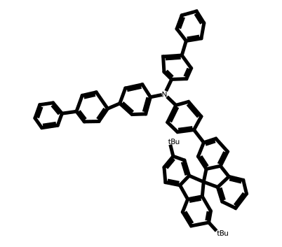 CC(C)(C)c1ccc2c(c1)C1(c3ccccc3-c3ccc(-c4ccc(N(c5ccc(-c6ccccc6)cc5)c5ccc(-c6ccc(-c7ccccc7)cc6)cc5)cc4)cc31)c1cc(C(C)(C)C)ccc1-2